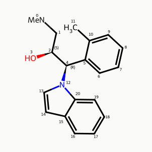 CNC[C@H](O)[C@@H](c1ccccc1C)n1ccc2ccccc21